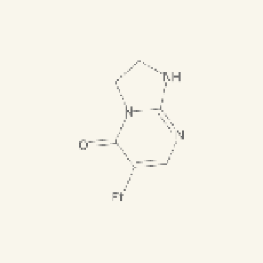 CCc1cnc2n(c1=O)CCN2